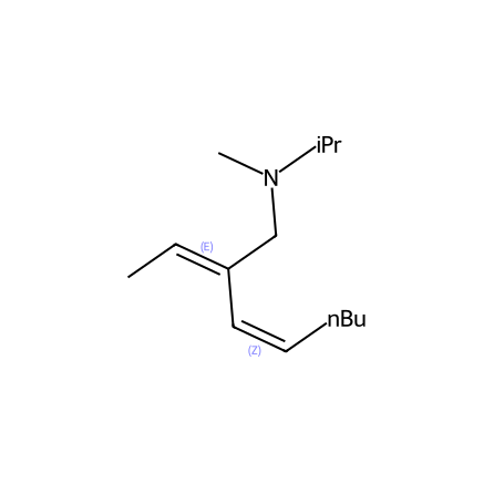 C/C=C(\C=C/CCCC)CN(C)C(C)C